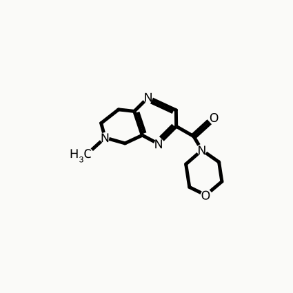 CN1CCc2ncc(C(=O)N3CCOCC3)nc2C1